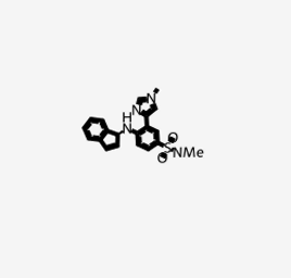 CNS(=O)(=O)c1ccc(N[C@H]2C=Cc3ccccc32)c(-c2cn(C)cn2)c1